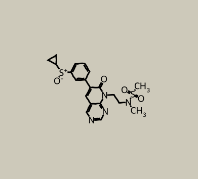 CN(CCn1c(=O)c(-c2cccc([S+]([O-])C3CC3)c2)cc2cncnc21)S(C)(=O)=O